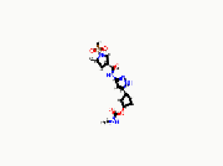 CC(C)NC(=O)O[C@@H]1CC[C@H](c2cc(NC(=O)[C@H]3C[C@@H](C)N(S(C)(=O)=O)C3)n[nH]2)C1